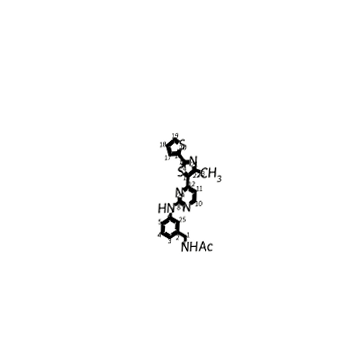 CC(=O)NCc1cccc(Nc2nccc(-c3sc(-c4cccs4)nc3C)n2)c1